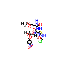 COC(=O)CCC1NC(=O)C1NC(=O)/C(=N\OC(C)(C)C(=O)OCc1ccc([N+](=O)[O-])cc1)c1csc(NC(=O)CCl)n1